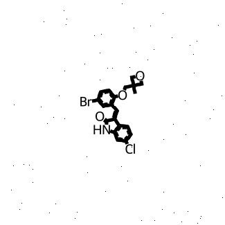 CC1(COc2ccc(Br)cc2C=C2C(=O)Nc3cc(Cl)ccc32)COC1